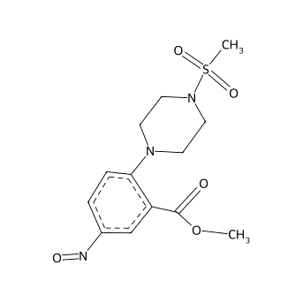 COC(=O)c1cc(N=O)ccc1N1CCN(S(C)(=O)=O)CC1